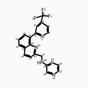 FC(F)(F)c1ccnc(-c2cccc3ccc(CNc4cnccn4)nc23)c1